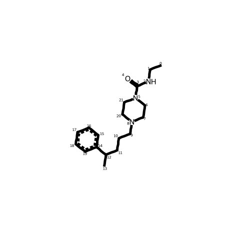 CCNC(=O)N1CCN(CCCC(C)c2ccccc2)CC1